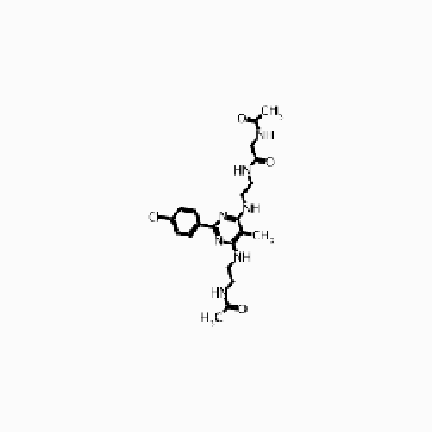 CC(=O)NCCNc1nc(-c2ccc(Cl)cc2)nc(NCCNC(=O)CNC(C)=O)c1C